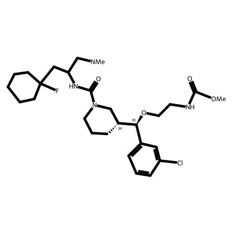 CNCC(CC1(F)CCCCC1)NC(=O)N1CCC[C@@H]([C@@H](OCCNC(=O)OC)c2cccc(Cl)c2)C1